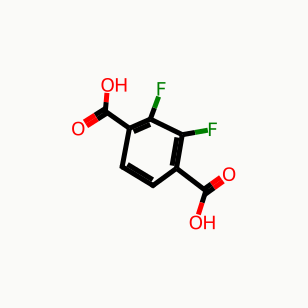 O=C(O)c1ccc(C(=O)O)c(F)c1F